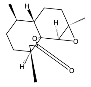 C[C@@H]1CC[C@H]2[C@@H](C)C(=O)OC23[C@H]1CC[C@@]1(C)O[C@@H]31